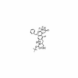 CC(C)(C)OC(=O)NC(CO)Cc1c(Br)cc(OCc2ccccc2)c(N(CC(=O)O)C(=O)C(F)(F)F)c1F